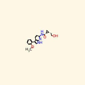 COc1ccccc1-c1c[nH]c2nc(NC(=O)[C@@H]3C[C@@H]3CCO)ccc12